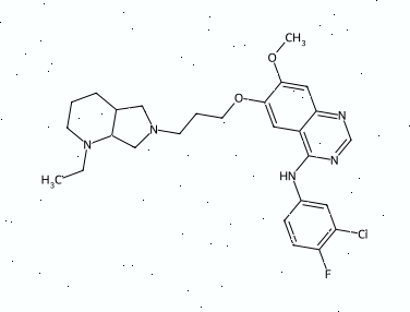 CCN1CCCC2CN(CCCOc3cc4c(Nc5ccc(F)c(Cl)c5)ncnc4cc3OC)CC21